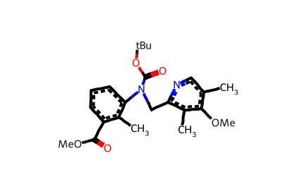 COC(=O)c1cccc(N(Cc2ncc(C)c(OC)c2C)C(=O)OC(C)(C)C)c1C